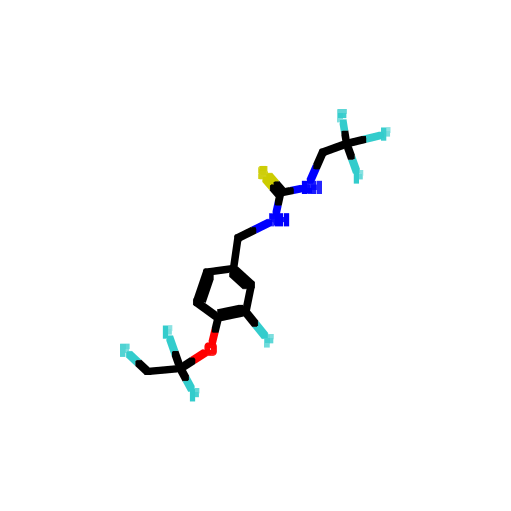 FCC(F)(F)Oc1ccc(CNC(=S)NCC(F)(F)F)cc1F